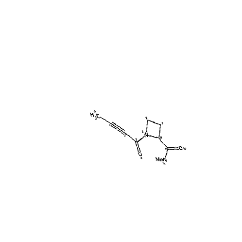 CC#CC(=O)N1CCC1C(=O)NC